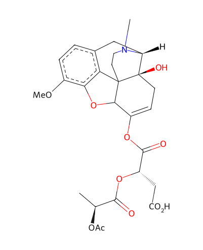 COc1ccc2c3c1OC1C(OC(=O)[C@H](CC(=O)O)OC(=O)[C@H](C)OC(C)=O)=CC[C@@]4(O)[C@@H](C2)N(C)CCC314